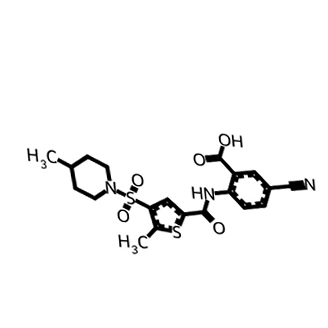 Cc1sc(C(=O)Nc2ccc(C#N)cc2C(=O)O)cc1S(=O)(=O)N1CCC(C)CC1